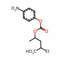 CCC(CC(C)OC(=O)Oc1ccc([N+](=O)[O-])cc1)C(=O)O